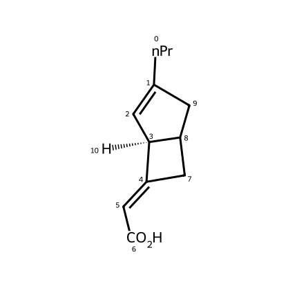 CCCC1=C[C@@H]2C(=CC(=O)O)CC2C1